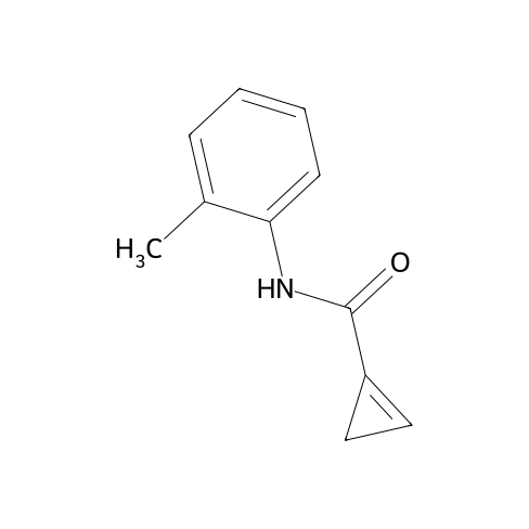 Cc1ccccc1NC(=O)C1=CC1